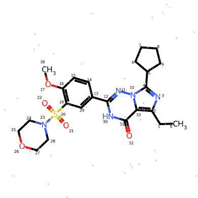 CCc1nc(C2CCCC2)n2nc(-c3ccc(OC)c(S(=O)(=O)N4CCOCC4)c3)[nH]c(=O)c12